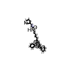 O=C(/C=C/c1cccnc1)NCCCCCCCN(COC1CCCCO1)S(=O)(=O)c1ccccc1